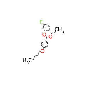 CCCCCOc1ccc(C(=O)OC(CC)c2ccc(F)cc2)cc1